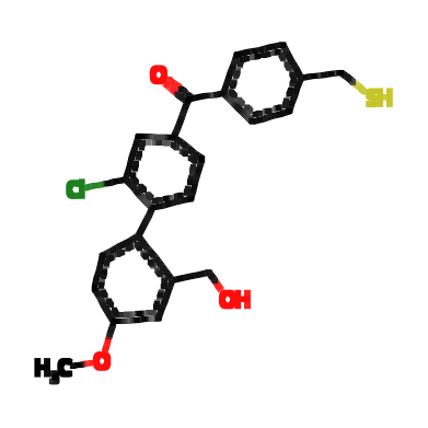 COc1ccc(-c2ccc(C(=O)c3ccc(CS)cc3)cc2Cl)c(CO)c1